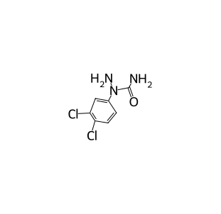 NC(=O)N(N)c1ccc(Cl)c(Cl)c1